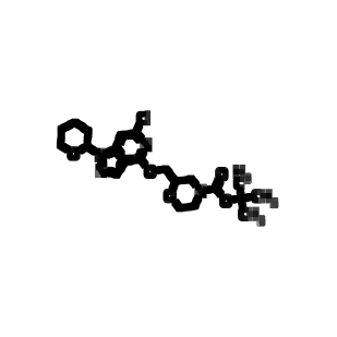 CC(C)(C)OC(=O)N1CCOC(COc2nc(Cl)cc3c2cnn3C2CCCCO2)C1